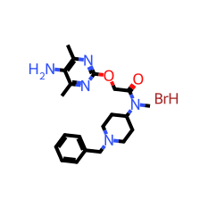 Br.Cc1nc(OCC(=O)N(C)C2CCN(Cc3ccccc3)CC2)nc(C)c1N